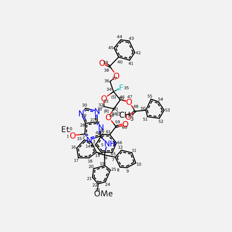 CCOc1nc(NC(c2ccccc2)(c2ccccc2)c2ccc(OC)cc2)nc2c1ncn2[C@@H]1O[C@](F)(COC(=O)c2ccccc2)[C@@H](OC(=O)c2ccccc2)[C@@]1(C)OC(=O)c1ccccc1